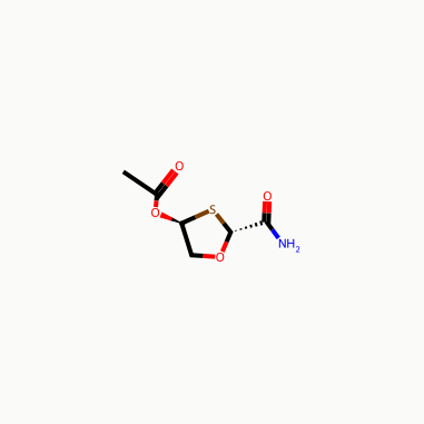 CC(=O)O[C@@H]1CO[C@@H](C(N)=O)S1